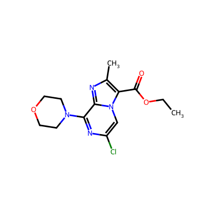 CCOC(=O)c1c(C)nc2c(N3CCOCC3)nc(Cl)cn12